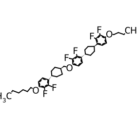 CCCCCCOc1ccc([C@H]2CC[C@H](COc3ccc([C@H]4CC[C@H](c5ccc(OCCCC)c(F)c5F)CC4)c(F)c3F)CC2)c(F)c1F